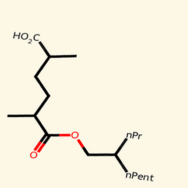 CCCCCC(CCC)COC(=O)C(C)CCC(C)C(=O)O